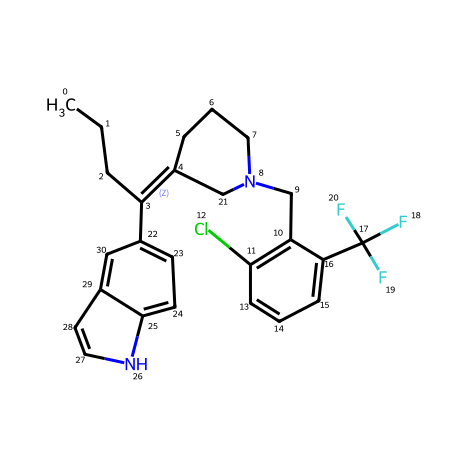 CCC/C(=C1\CCCN(Cc2c(Cl)cccc2C(F)(F)F)C1)c1ccc2[nH]ccc2c1